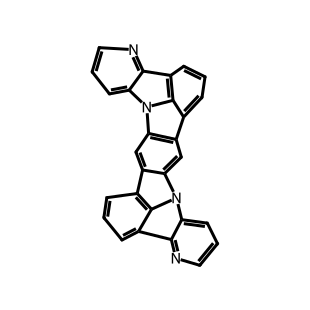 c1cc2c3cc4c(cc3n3c5cccnc5c(c1)c23)c1cccc2c3ncccc3n4c12